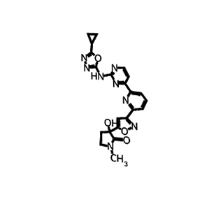 CN1CCC(O)(c2cc(-c3cccc(-c4ccnc(Nc5nnc(C6CC6)o5)n4)n3)no2)C1=O